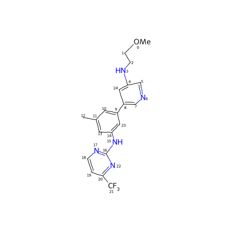 COCCNc1cncc(-c2cc(C)cc(Nc3nccc(C(F)(F)F)n3)c2)c1